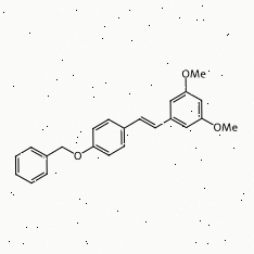 COc1cc(C=Cc2ccc(OCc3ccccc3)cc2)cc(OC)c1